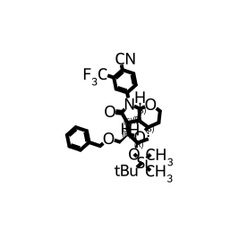 CC(C)(C)[Si](C)(C)O[C@@H]1C[C@@]23CCO[C@H]4[C@@H]2[C@H](C(=O)N4c2ccc(C#N)c(C(F)(F)F)c2)[C@]1(COCc1ccccc1)O3